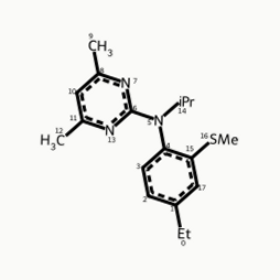 CCc1ccc(N(c2nc(C)cc(C)n2)C(C)C)c(SC)c1